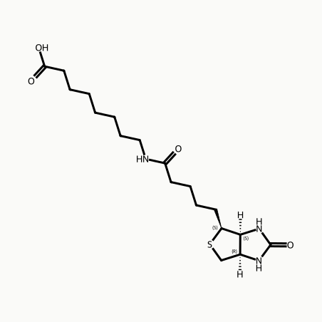 O=C(O)CCCCCCCNC(=O)CCCC[C@@H]1SC[C@@H]2NC(=O)N[C@@H]21